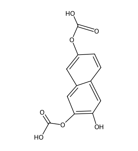 O=C(O)Oc1ccc2cc(O)c(OC(=O)O)cc2c1